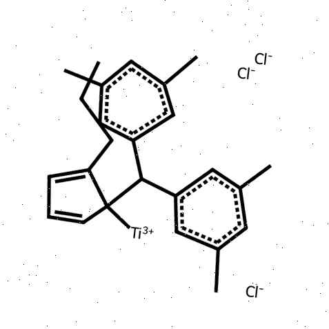 CCCC1=CC=C[C]1([Ti+3])C(c1cc(C)cc(C)c1)c1cc(C)cc(C)c1.[Cl-].[Cl-].[Cl-]